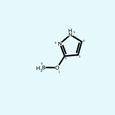 BOc1cc[nH]n1